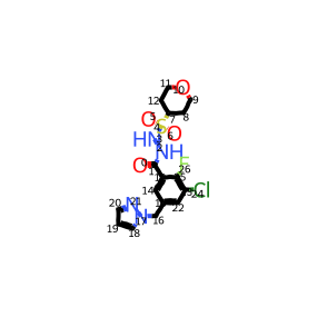 O=C(NNS(=O)(=O)C1CCOCC1)c1cc(Cn2cccn2)cc(Cl)c1F